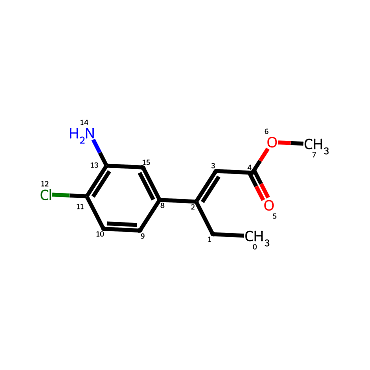 CCC(=CC(=O)OC)c1ccc(Cl)c(N)c1